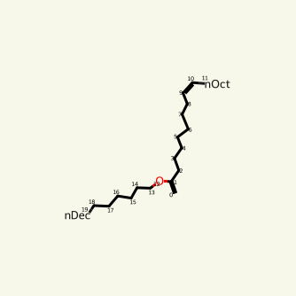 C=C(CCCCCCC/C=C\CCCCCCCC)OCCCCCCCCCCCCCCCC